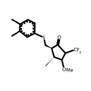 COC1C(C(F)(F)F)C(=O)[C@H](CSc2ccc(C)c(C)c2)[C@H]1C